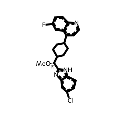 CO[C@@H](c1nc2cc(Cl)ccc2[nH]1)C1CCC(c2ccnc3ccc(F)cc23)CC1